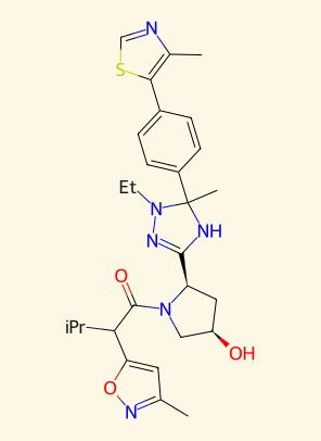 CCN1N=C([C@H]2C[C@@H](O)CN2C(=O)C(c2cc(C)no2)C(C)C)NC1(C)c1ccc(-c2scnc2C)cc1